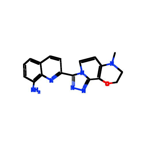 CN1CCOc2c1ccn1c(-c3ccc4cccc(N)c4n3)nnc21